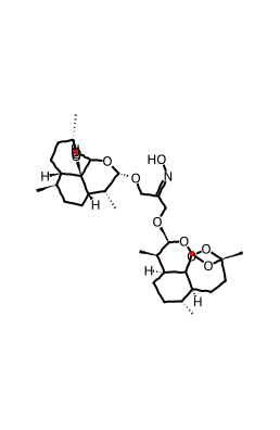 C[C@H]1[C@@H](OC/C(CO[C@H]2O[C@@H]3O[C@@]4(C)CC[C@H]5[C@H](C)CC[C@@H]([C@H]2C)[C@@]35OO4)=N/O)OC2O[C@@]3(C)CC[C@H]4[C@H](C)CC[C@@H]1[C@@]24OO3